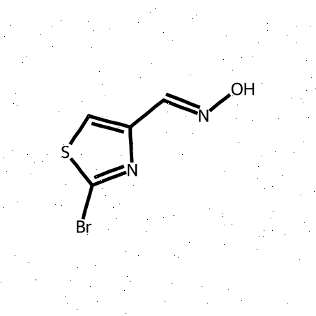 ON=Cc1csc(Br)n1